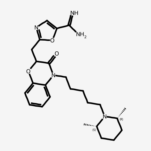 C[C@@H]1CCC[C@H](C)N1CCCCCN1C(=O)C(Cc2ncc(C(=N)N)o2)Oc2ccccc21